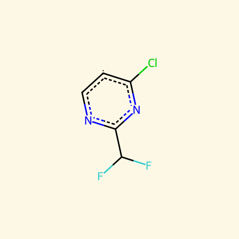 FC(F)c1nc[c]c(Cl)n1